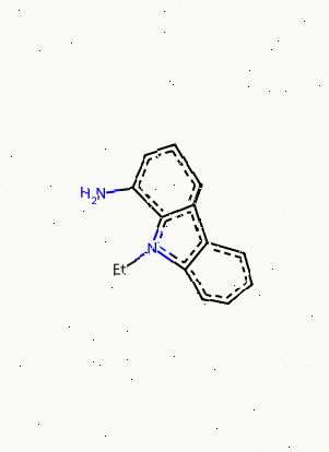 CCn1c2ccccc2c2cccc(N)c21